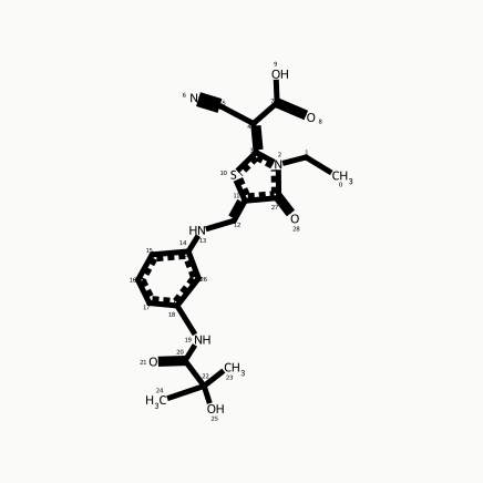 CCn1c(=C(C#N)C(=O)O)sc(=CNc2cccc(NC(=O)C(C)(C)O)c2)c1=O